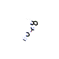 CNc1ncc(-n2ncc(C(=O)Nc3cnc(N4N=CCN4)c(Cl)c3)c2C(F)(F)F)c2cccc(F)c12